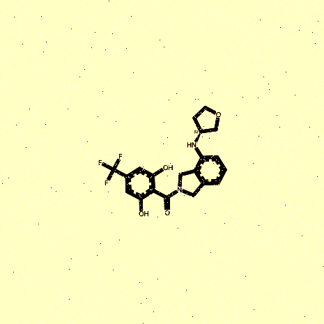 O=C(c1c(O)cc(C(F)(F)F)cc1O)N1Cc2cccc(N[C@H]3CCOC3)c2C1